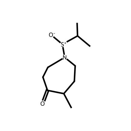 CC1CCN([S+]([O-])C(C)C)CCC1=O